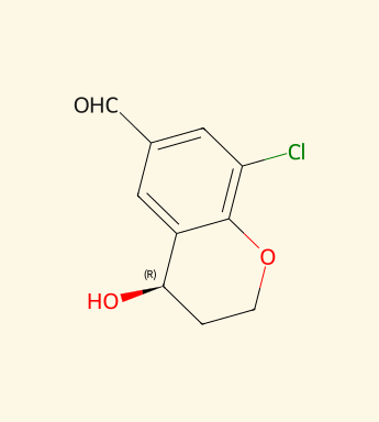 O=Cc1cc(Cl)c2c(c1)[C@H](O)CCO2